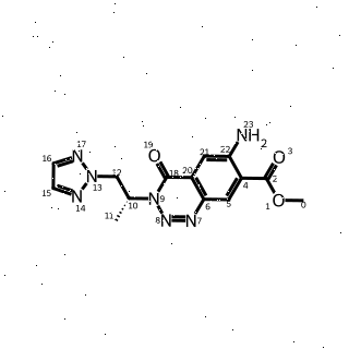 COC(=O)c1cc2nnn([C@H](C)Cn3nccn3)c(=O)c2cc1N